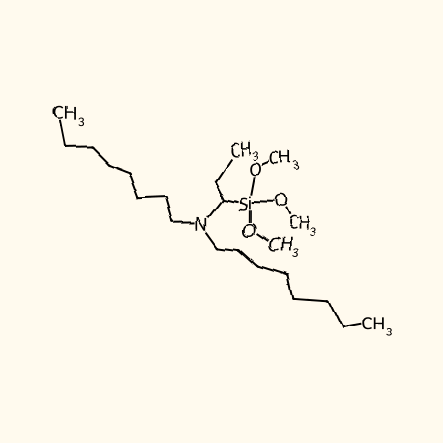 CCCCCCCCN(CCCCCCCC)C(CC)[Si](OC)(OC)OC